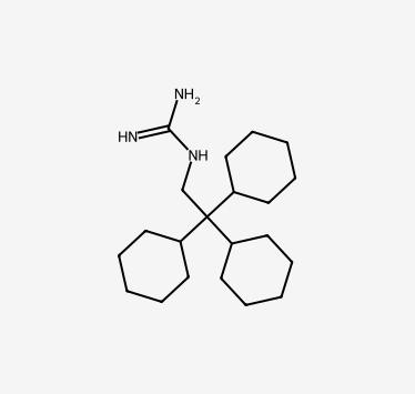 N=C(N)NCC(C1CCCCC1)(C1CCCCC1)C1CCCCC1